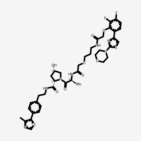 Cc1ncsc1-c1ccc(CCNC(=O)[C@@H]2C[C@H](O)CN2C(=O)[C@@H](NC(=O)COCCCNC(=O)COc2c(-c3csc(N4CCOCC4)n3)ccc(F)c2F)C(C)(C)C)cc1